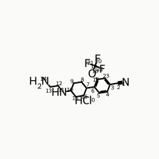 Cl.N#Cc1ccc(C2CCC(NCCN)CC2)c(OC(F)(F)F)c1